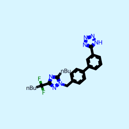 CCCCc1nc(C(F)(F)CCCC)nn1Cc1ccc(-c2cccc(-c3nnn[nH]3)c2)cc1